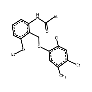 CCOc1cccc(NC(=O)CC)c1COc1cc(C)c(CC)cc1Cl